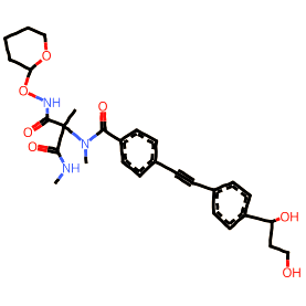 CNC(=O)C(C)(C(=O)NOC1CCCCO1)N(C)C(=O)c1ccc(C#Cc2ccc(C(O)CCO)cc2)cc1